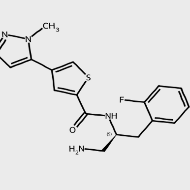 Cn1nccc1-c1csc(C(=O)N[C@H](CN)Cc2ccccc2F)c1